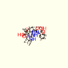 CCC1(CC)CC(=O)N(C2c3cc(C(=O)N[C@@H]4c5ccccc5O[C@H]4O)ccc3OC2(C)CO)C(=N)N1